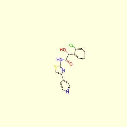 O=C(Nc1nc(-c2ccncc2)cs1)C(O)c1ccccc1Cl